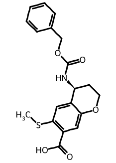 CSc1cc2c(cc1C(=O)O)OCC[C@@H]2NC(=O)OCc1ccccc1